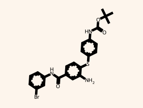 CC(C)(C)OC(=O)Nc1ccc(Sc2ccc(C(=O)Nc3cccc(Br)c3)cc2N)cc1